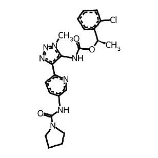 C[C@@H](OC(=O)Nc1c(-c2ccc(NC(=O)N3CCCC3)cn2)nnn1C)c1ccccc1Cl